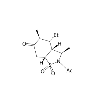 CC[C@@H]1[C@@H]2[C@@H](C)N(C(C)=O)S(=O)(=O)[C@@H]2CC(=O)[C@H]1C